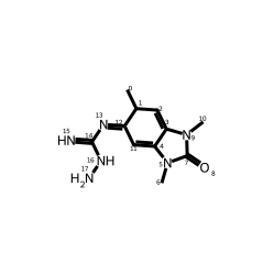 CC1C=c2c(n(C)c(=O)n2C)=CC1=NC(=N)NN